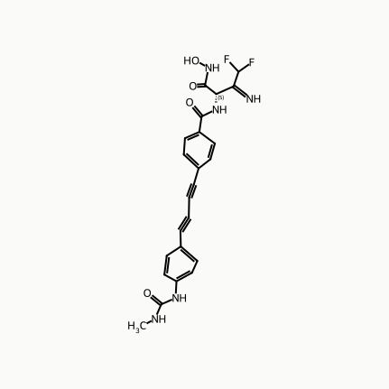 CNC(=O)Nc1ccc(C#CC#Cc2ccc(C(=O)N[C@@H](C(=N)C(F)F)C(=O)NO)cc2)cc1